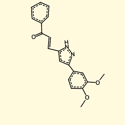 COc1ccc(-c2cc(/C=C/C(=O)c3ccccc3)[nH]n2)cc1OC